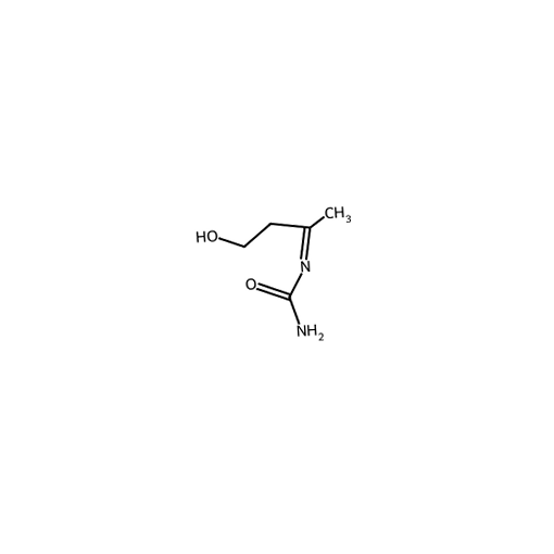 CC(CCO)=NC(N)=O